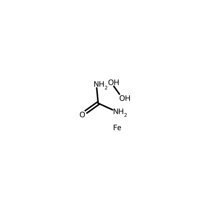 NC(N)=O.OO.[Fe]